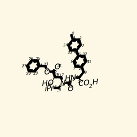 Cc1ccc(-c2ccc(C[C@H](NC(=O)N(CC(C)C)C[C@H](O)C(=O)OCc3ccccc3)C(=O)O)cc2)cc1